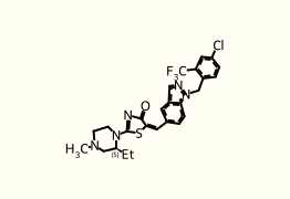 CC[C@H]1CN(C)CCN1C1=NC(=O)C(=Cc2ccc3c(cnn3Cc3ccc(Cl)cc3C(F)(F)F)c2)S1